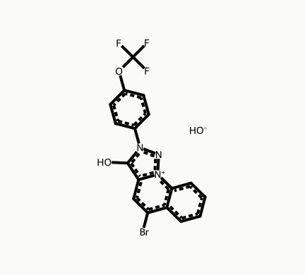 Oc1c2cc(Br)c3ccccc3[n+]2nn1-c1ccc(OC(F)(F)F)cc1.[OH-]